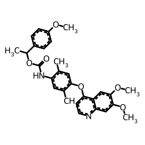 COc1ccc(C(C)OC(=O)Nc2cc(C)c(Oc3ccnc4cc(OC)c(OC)cc34)cc2C)cc1